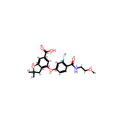 COCCNC(=O)c1ccc(Oc2cc(C(=O)O)cc3c2CC(C)(C)O3)cc1F